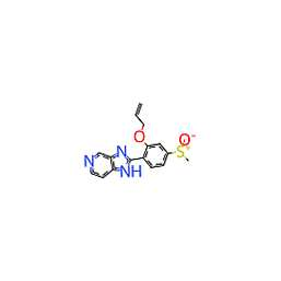 C=CCOc1cc([S+](C)[O-])ccc1-c1nc2cnccc2[nH]1